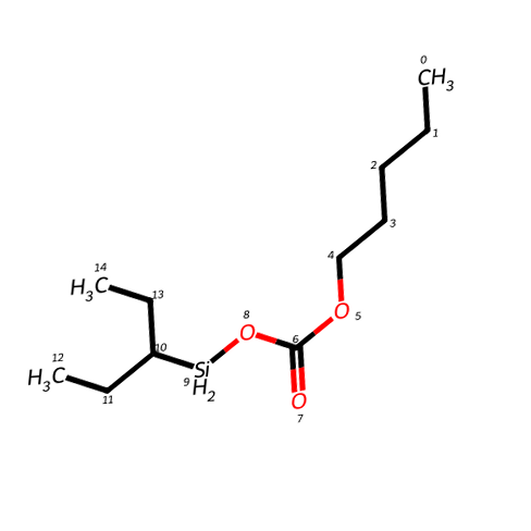 CCCCCOC(=O)O[SiH2]C(CC)CC